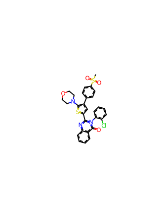 CS(=O)(=O)c1ccc(-c2cc(-c3nc4ccccc4c(=O)n3-c3ccccc3Cl)sc2N2CCOCC2)cc1